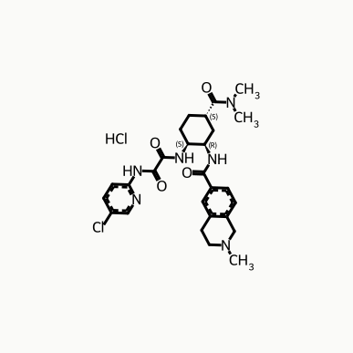 CN1CCc2cc(C(=O)N[C@@H]3C[C@@H](C(=O)N(C)C)CC[C@@H]3NC(=O)C(=O)Nc3ccc(Cl)cn3)ccc2C1.Cl